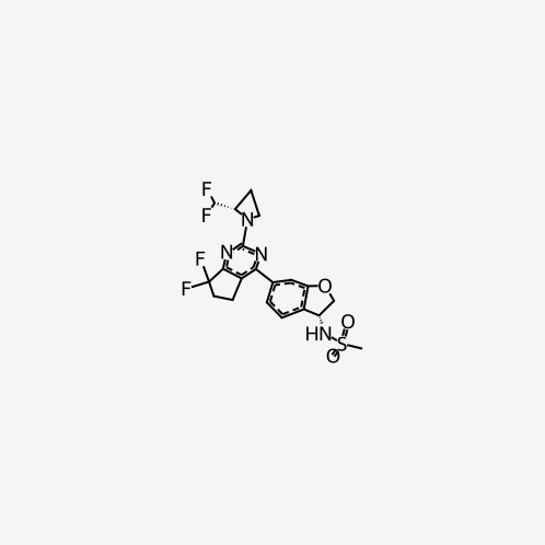 CS(=O)(=O)N[C@H]1COc2cc(-c3nc(N4CC[C@H]4C(F)F)nc4c3CCC4(F)F)ccc21